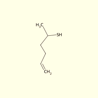 C=CCCC(C)S